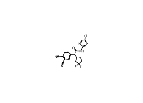 N#Cc1ccc([C@H](C(=O)Nc2cnc(Cl)cn2)[C@H]2CCC(F)(F)C2)cc1C#N